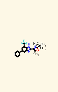 Cc1oc(C(C)(C)C)nc1-c1nc2cc(-c3ccccc3)cc(C(F)(F)F)c2[nH]1